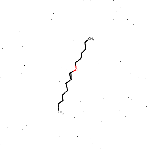 CCCCCCC=COCCCCCC